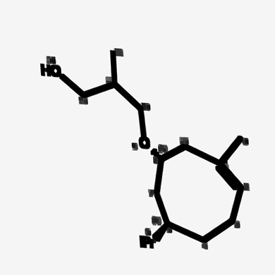 CC1=CCC[C@@H](C(C)C)C[C@H](OCC(C)CO)C1